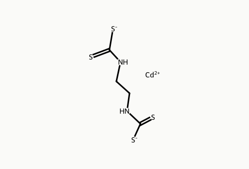 S=C([S-])NCCNC(=S)[S-].[Cd+2]